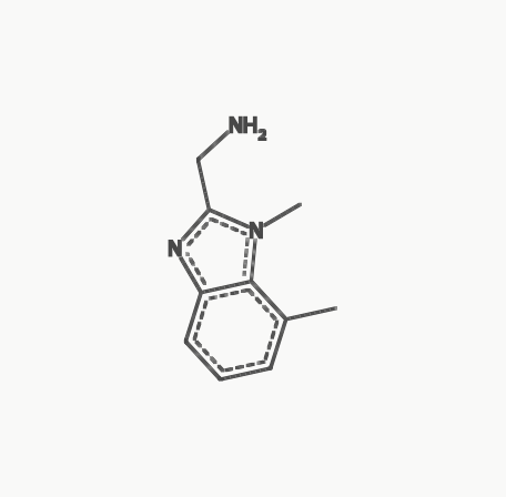 Cc1cccc2nc(CN)n(C)c12